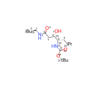 CC[C@H](C)CNC(=O)C[C@H](O)[C@H](CC(C)C)NC(=O)OC(C)(C)C